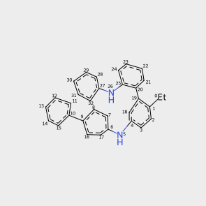 CCc1ccc(Nc2ccc(-c3ccccc3)cc2)cc1-c1ccccc1Nc1ccccc1